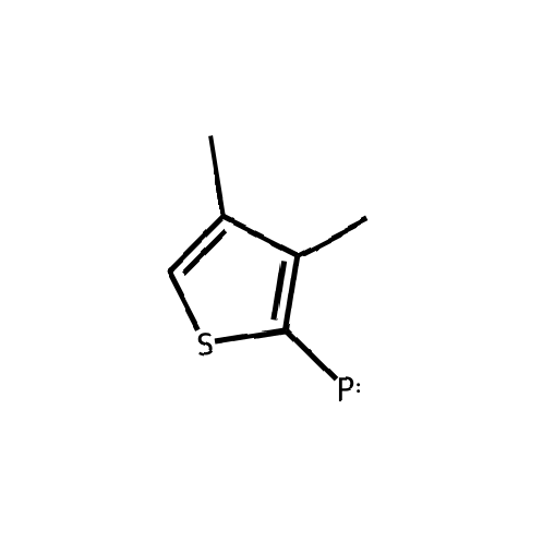 Cc1csc([P])c1C